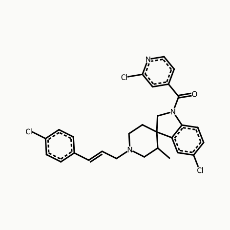 CC1CN(CC=Cc2ccc(Cl)cc2)CCC12CN(C(=O)c1ccnc(Cl)c1)c1ccc(Cl)cc12